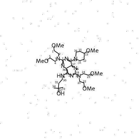 COCCN(CCOC)c1nc(N2CCC(OC)CC2)c2nc(N(CCOC)CCOC)nc(NCCC(C)(C)O)c2n1